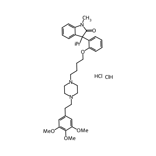 COc1cc(CCN2CCN(CCCCOc3ccccc3C3(C(C)C)C(=O)N(C)c4ccccc43)CC2)cc(OC)c1OC.Cl.Cl